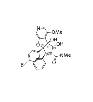 CNC(=O)[C@H]1[C@@H](O)[C@@]2(O)c3c(OC)cncc3O[C@@]2(c2ccc(Br)cc2)[C@@H]1c1ccccc1